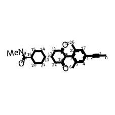 CC#Cc1cc(C)c(C2C(=O)CC([C@H]3CC[C@H](C(=O)NC)CC3)CC2=O)c(C)c1